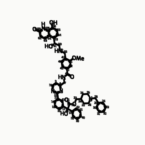 COc1cc(C(=O)NCc2ccnc(-c3cccc([C@](O)(C(=O)OCC4CCN(Cc5ccccc5)CC4)c4ccccc4)c3)n2)ccc1CNC[C@H](O)c1ccc(O)c2[nH]c(=O)ccc12